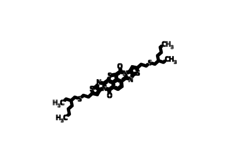 CCCCC(CC)CSCCc1cc2c(nc3c4ccc5c(=O)n6c7cc(CCSCC(CC)CCCC)sc7nc6c6sc(c(=O)n23)c4c56)s1